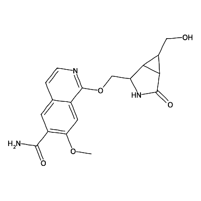 COc1cc2c(OCC3NC(=O)C4C(CO)C34)nccc2cc1C(N)=O